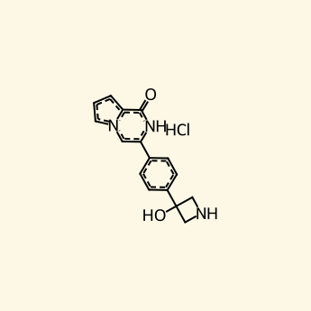 Cl.O=c1[nH]c(-c2ccc(C3(O)CNC3)cc2)cn2cccc12